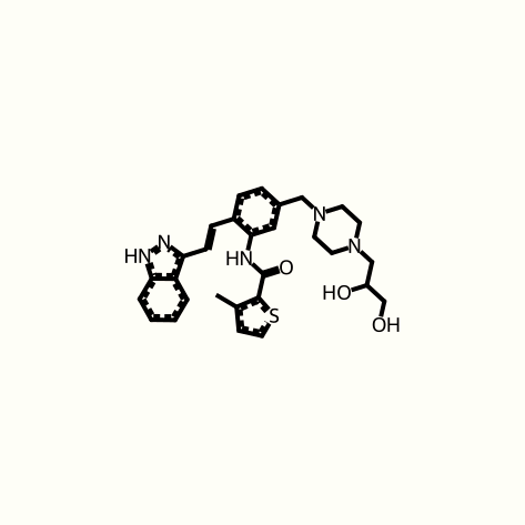 Cc1ccsc1C(=O)Nc1cc(CN2CCN(CC(O)CO)CC2)ccc1C=Cc1n[nH]c2ccccc12